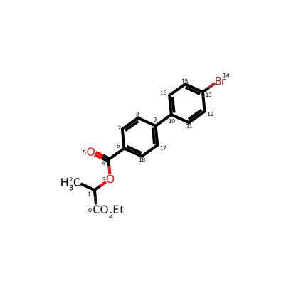 CCOC(=O)C(C)OC(=O)c1ccc(-c2ccc(Br)cc2)cc1